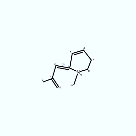 C=C(C)/C=C1/C=CCCN1C